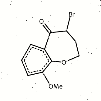 COc1cccc2c1OCCC(Br)C2=O